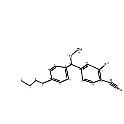 CCCCc1ccc(C(OO)c2ccc(C#N)c(F)c2)cc1